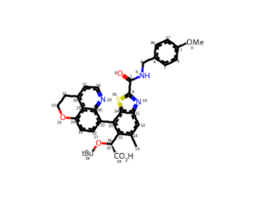 COc1ccc(CNC(=O)c2nc3cc(C)c([C@H](OC(C)(C)C)C(=O)O)c(-c4ccc5c6c(ccnc46)CCO5)c3s2)cc1